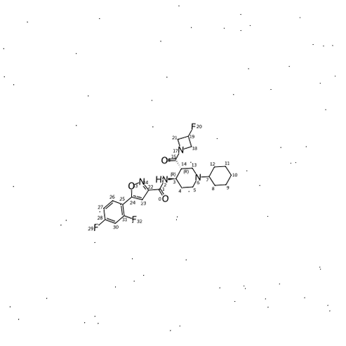 O=C(N[C@@H]1CCN(C2CCCCC2)C[C@H]1C(=O)N1CC(F)C1)c1cc(-c2ccc(F)cc2F)on1